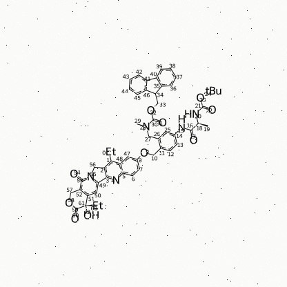 CCc1c2c(nc3ccc(OCc4ccc(NC(=O)[C@H](C)NC(=O)OC(C)(C)C)cc4CN(C)C(=O)OCC4c5ccccc5-c5ccccc54)cc13)-c1cc3c(c(=O)n1C2)COC(=O)[C@]3(O)CC